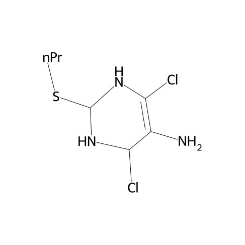 CCCSC1NC(Cl)=C(N)C(Cl)N1